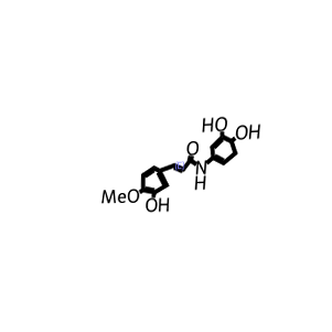 COc1ccc(/C=C/C(=O)NC2=CCC(O)C(O)=C2)cc1O